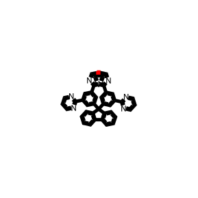 c1cnc(-c2cc(-c3ncccn3)cc(C3(c4cc(-c5ncccn5)cc(-c5ncccn5)c4)c4ccccc4-c4ccccc43)c2)nc1